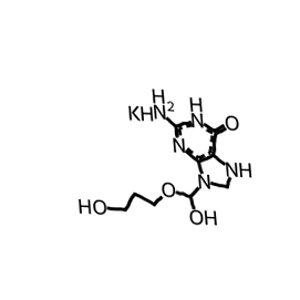 Nc1nc2c(c(=O)[nH]1)NCN2C(O)OCCCO.[KH]